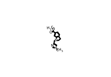 COC(=O)c1ccc2c(c1)N(Cc1cn(C)cn1)CC2